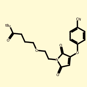 CC(C)(C)C(=O)CCCOCCN1C(=O)C=C(Oc2ccc(C#N)cc2)C1=O